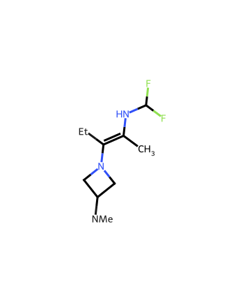 CC/C(=C(/C)NC(F)F)N1CC(NC)C1